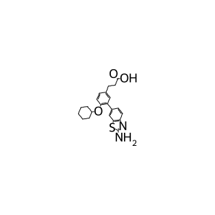 Nc1nc2ccc(-c3cc(CCC(=O)O)ccc3OC3CCCCC3)cc2s1